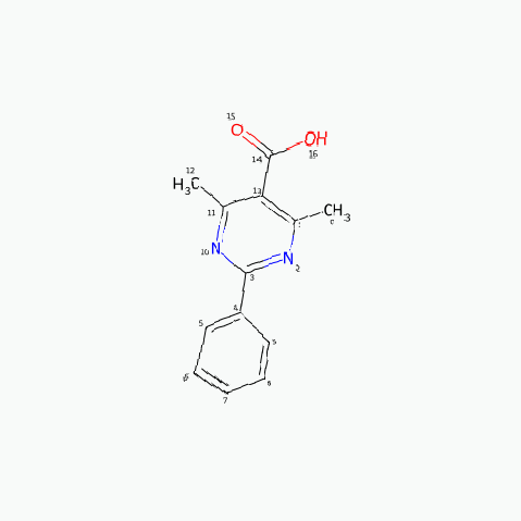 Cc1nc(-c2ccccc2)nc(C)c1C(=O)O